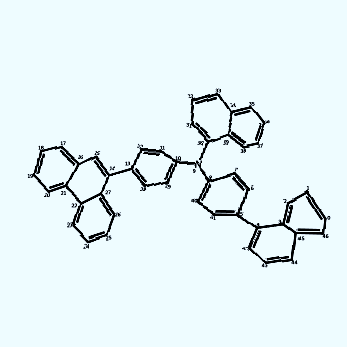 c1ccc2c(-c3ccc(N(c4ccc(-c5cc6ccccc6c6ccccc56)cc4)c4cccc5ccccc45)cc3)cccc2c1